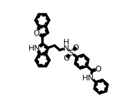 O=C(Nc1ccccc1)c1ccc(S(=O)(=O)NCCc2c(-c3cc4ccccc4o3)[nH]c3ccccc23)cc1